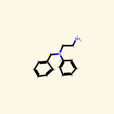 NCCN(Cc1ccccc1)c1ccccc1